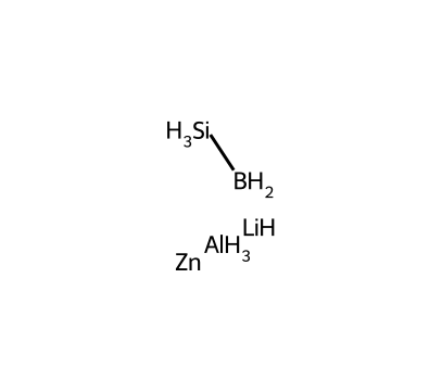 B[SiH3].[AlH3].[LiH].[Zn]